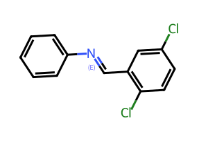 Clc1ccc(Cl)c(/C=N/c2ccccc2)c1